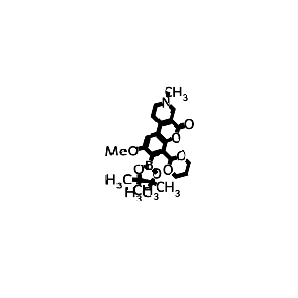 COc1cc2c3c(c(=O)oc2c(C2OCCCO2)c1B1OC(C)(C)C(C)(C)O1)CN(C)CC3